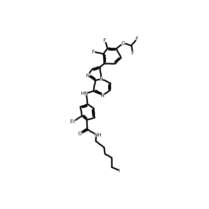 CCc1cc(Nc2nccn3c(-c4ccc(OC(F)F)c(F)c4F)cnc23)ccc1C(=O)NCCCCCI